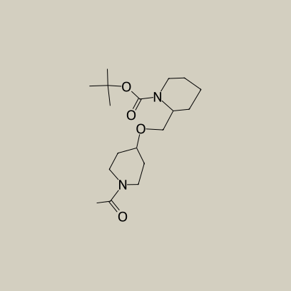 CC(=O)N1CCC(OCC2CCCCN2C(=O)OC(C)(C)C)CC1